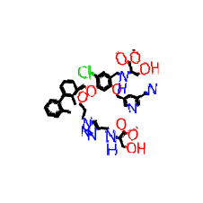 COC(=O)C(CO)NCc1cn(CCCOC2(COc3cc(OCc4cncc(C#N)c4)c(CNC(CO)C(=O)OC)cc3Cl)C=CC=C(c3ccccc3C)C2C)nn1